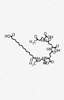 CC(=O)CC[C@H](NC(=O)CC[C@H](NC(=O)CC[C@H](NC(=O)CC[C@@H](C)NC(=O)CCCCCCCCCCCCC(=O)O)C(=O)O)C(=O)O)C(=O)O